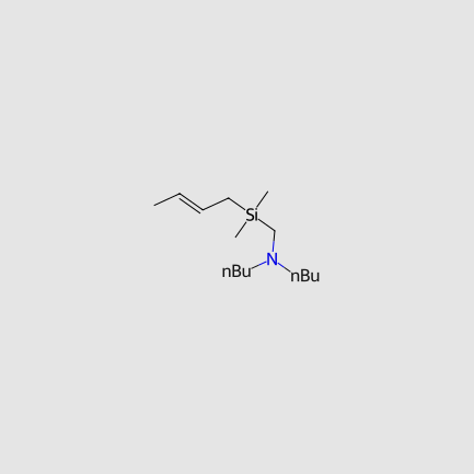 C/C=C/C[Si](C)(C)CN(CCCC)CCCC